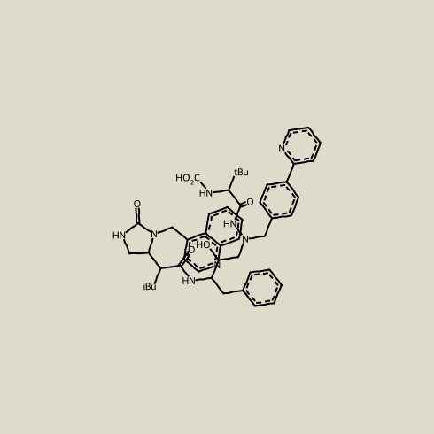 CCC(C)C(C(=O)NC(Cc1ccccc1)C(O)CN(Cc1ccc(-c2ccccn2)cc1)NC(=O)C(NC(=O)O)C(C)(C)C)C1CNC(=O)N1Cc1ccnc2ccccc12